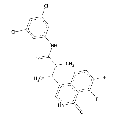 C[C@@H](c1c[nH]c(=O)c2c(F)c(F)ccc12)N(C)C(=O)Nc1cc(Cl)cc(Cl)c1